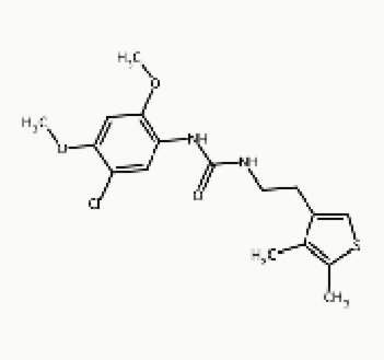 COc1cc(OC)c(NC(=O)NCCc2csc(C)c2C)cc1Cl